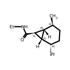 CCNC(=O)[C@@H]1[C@@H]2[C@H]1[C@@H](C)CC[C@@H]2C(C)C